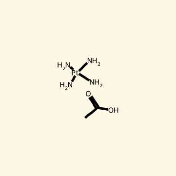 CC(=O)O.[NH2][Pt]([NH2])([NH2])[NH2]